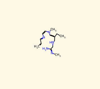 C=C/C=N/C=C\N(C)/C=C(\CC)CNC/C(N)=N\C